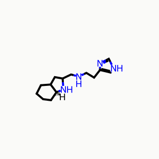 c1nc(CCNCC2CC3CCCC[C@@H]3N2)c[nH]1